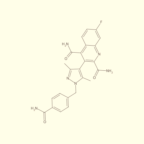 Cc1nn(Cc2ccc(C(N)=O)cc2)c(C)c1-c1c(C(N)=O)nc2cc(F)ccc2c1C(N)=O